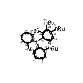 CCCCc1ccccc1P(c1ccccc1CCCC)c1ccc(CCCC)c(CCCC)c1CCCC